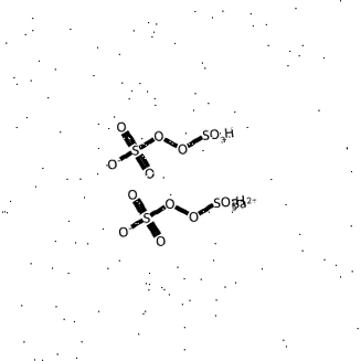 O=S(=O)([O-])OOS(=O)(=O)O.O=S(=O)([O-])OOS(=O)(=O)O.[Ba+2]